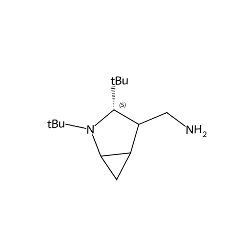 CC(C)(C)[C@@H]1C(CN)C2CC2N1C(C)(C)C